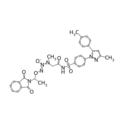 Cc1ccc(-c2cc(C)nn2-c2ccc(S(=O)(=O)NC(=O)CN(C)/[N+]([O-])=N/OC(C)N3C(=O)c4ccccc4C3=O)cc2)cc1